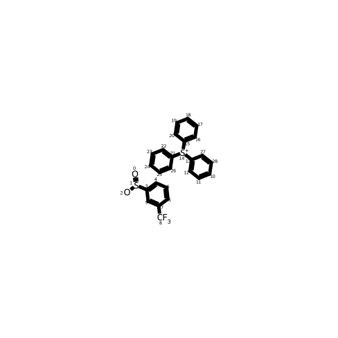 O=S([O-])c1cccc(C(F)(F)F)c1.c1ccc([S+](c2ccccc2)c2ccccc2)cc1